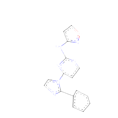 c1ccc(-c2nccn2-c2ccnc(Nc3ccon3)n2)cc1